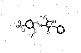 COc1cc(S(=O)(=O)Cl)ccc1/N=N/c1c(C)[nH]n(-c2ccccc2)c1=O